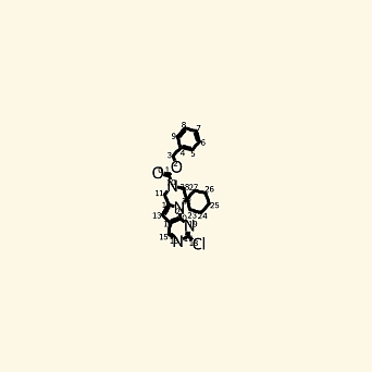 O=C(OCc1ccccc1)N1Cc2cc3cnc(Cl)nc3n2C2(CCCCC2)C1